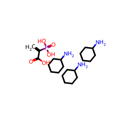 C=C(C(=O)O)P(=O)(O)O.NC1CCCCC1.NC1CCCCC1.NC1CCCCC1